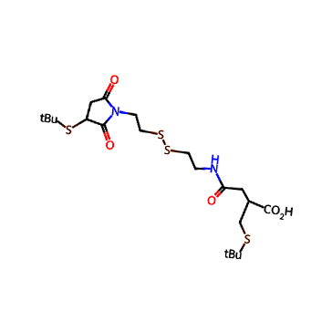 CC(C)(C)SCC(CC(=O)NCCSSCCN1C(=O)CC(SC(C)(C)C)C1=O)C(=O)O